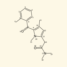 Cc1ccccc1C(=O)c1c(C)cc(CC(=O)N(C)C)n1C